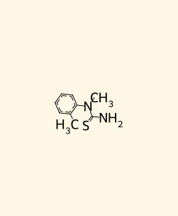 Cc1ccccc1N(C)C(N)=S